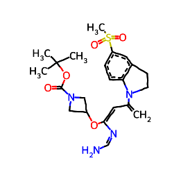 C=C(/C=C(\N=C/N)OC1CN(C(=O)OC(C)(C)C)C1)N1CCc2cc(S(C)(=O)=O)ccc21